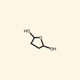 OC1[CH]CC(O)O1